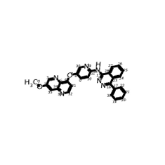 COc1cnc2c(Oc3ccc(Nc4nnc(-c5ccccc5)c5ccccc45)nc3)ccnc2c1